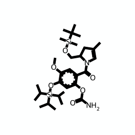 COc1cc(C(=O)N2C=C(C)CC2CO[Si](C)(C)C(C)(C)C)c(OC(N)=O)cc1O[Si](C(C)C)(C(C)C)C(C)C